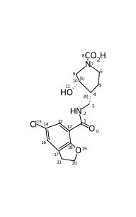 O=C(NC[C@H]1CCN(C(=O)O)C[C@H]1O)c1cc(Cl)cc2c1OCC2